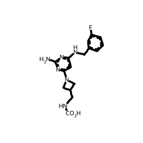 Nc1nc(NCc2cccc(F)c2)cc(N2CC(CNC(=O)O)C2)n1